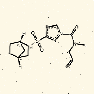 C=CCN(C)C(=O)n1cnc(S(=O)(=O)[C@@H]2C[C@@H]3CC[C@H]2C3)n1